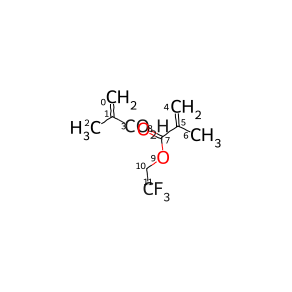 C=C(C)C(=O)O.C=C(C)C(=O)OCC(F)(F)F